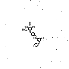 Cc1cc(CN2CCOCC2)cc(NCc2ccc(CN3C[C@H](O)[C@@H](O)[C@H](O)[C@H]3CO)cc2)c1